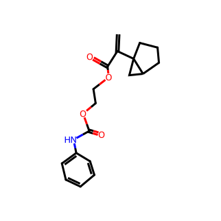 C=C(C(=O)OCCOC(=O)Nc1ccccc1)C12CCCC1C2